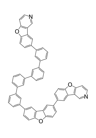 c1cc(-c2cccc(-c3cccc(-c4ccc5oc6ccc(-c7ccc8oc9ccncc9c8c7)cc6c5c4)c3)c2)cc(-c2cccc(-c3ccc4oc5ccncc5c4c3)c2)c1